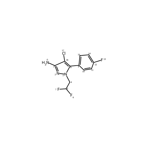 Nc1nn(CC(F)F)c(-c2ccc(F)cc2)c1Cl